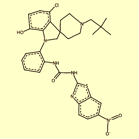 CC(C)(C)CN1CCC2(CC1)CN(c1ccccc1NC(=O)Nc1nc3ccc([N+](=O)[O-])cc3s1)c1c(O)ccc(Cl)c12